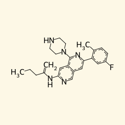 C=C(CCC)Nc1cc2c(N3CCNCC3)nc(-c3cc(F)ccc3C)cc2cn1